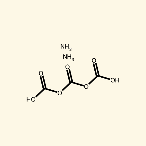 N.N.O=C(O)OC(=O)OC(=O)O